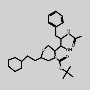 CC(=O)NC(Cc1ccccc1)C(O)C1COC(CCC2CCCCC2)CN1C(=O)OC(C)(C)C